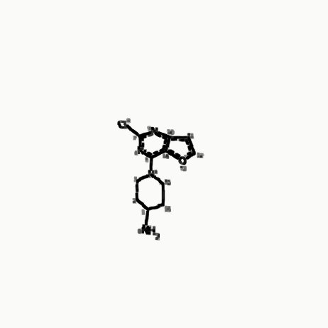 NC1CCN(c2nc(Cl)nc3ccoc23)CC1